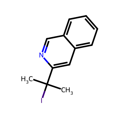 CC(C)(I)c1cc2ccccc2cn1